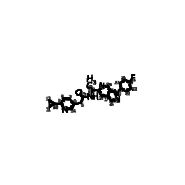 C[C@@H](NC(=O)Cc1ccc(C2CC2)nc1)c1cc2cnn(-c3ccc(F)cc3)c2cn1